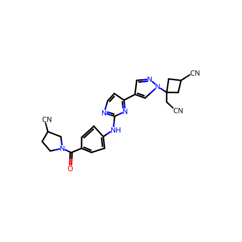 N#CCC1(n2cc(-c3ccnc(Nc4ccc(C(=O)N5CCC(C#N)C5)cc4)n3)cn2)CC(C#N)C1